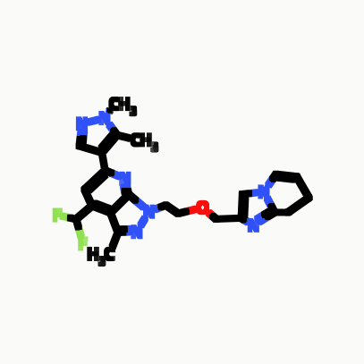 Cc1nn(CCOCc2cn3c(n2)CCC=C3)c2nc(-c3cnn(C)c3C)cc(C(F)F)c12